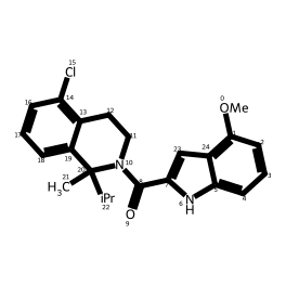 COc1cccc2[nH]c(C(=O)N3CCc4c(Cl)cccc4C3(C)C(C)C)cc12